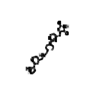 O=C1NC(=O)/C(=C/c2ccnc(N3CCC(CNCc4ccnc(-c5ccn[nH]5)c4)CC3)n2)S1